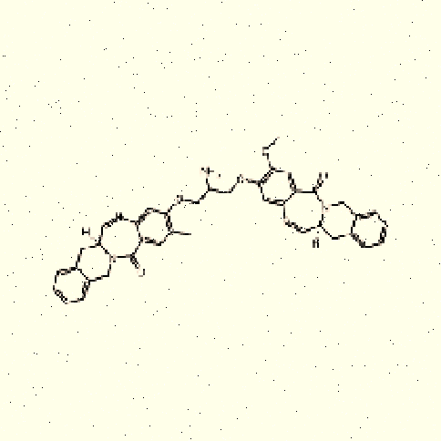 COc1cc2c(cc1OCC(N)COc1cc3c(cc1C)C(=O)N1Cc4ccccc4C[C@H]1C=N3)N=C[C@@H]1Cc3ccccc3CN1C2=O